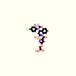 CC(=O)N(c1ccc(Cl)cc1)C1C[C@@H](C)N(C(=O)c2cc(OCC(=O)O)no2)c2ccccc21